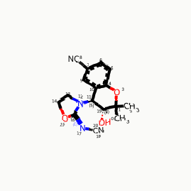 CC1(C)Oc2ccc(C#N)cc2[C@H](N2CCO/C2=N/C#N)[C@H]1O